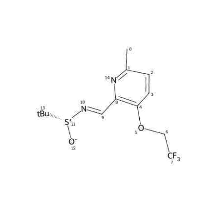 Cc1ccc(OCC(F)(F)F)c(/C=N/[S@+]([O-])C(C)(C)C)n1